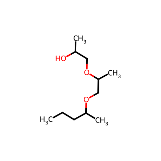 CCCC(C)OCC(C)OCC(C)O